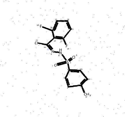 Cc1ccc(S(=O)(=O)N/N=C(/Cl)c2c(F)cccc2F)cc1